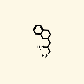 NCC(N)CC1CCc2ccccc2C1